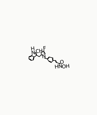 Cc1[nH]c2ccccc2c1CC1CC(F)CN1Cc1ccc(C=CC(=O)NO)cc1